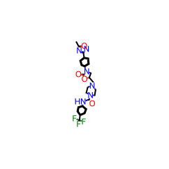 Cc1nc(-c2ccc(N3CC(CN4CCN(C(=O)Nc5ccc(C(F)(F)F)cc5)CC4)OC3=O)cc2)no1